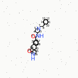 O=C(NC1CCN(CCc2ccccc2)C1)c1ccc2c(c1)CCC1(CCNC1=O)C2